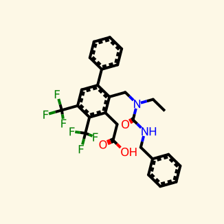 CCN(Cc1c(-c2ccccc2)cc(C(F)(F)F)c(C(F)(F)F)c1CC(=O)O)C(=O)NCc1ccccc1